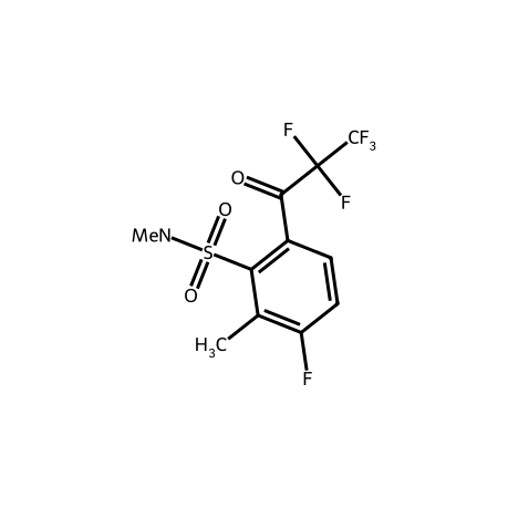 CNS(=O)(=O)c1c(C(=O)C(F)(F)C(F)(F)F)ccc(F)c1C